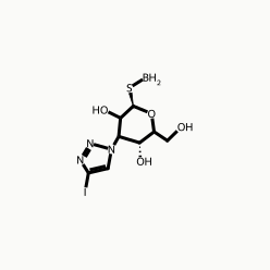 BS[C@H]1OC(CO)[C@H](O)C(n2cc(I)nn2)C1O